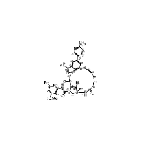 COc1cc(Br)nc(NC(=O)[C@@H]2C[C@]34CNC(=O)CCCC=CCc5cc(-c6cnc(C)nc6)cc6c(C(C)=O)nn(c56)CC(=O)N2[C@@H]3C4)c1